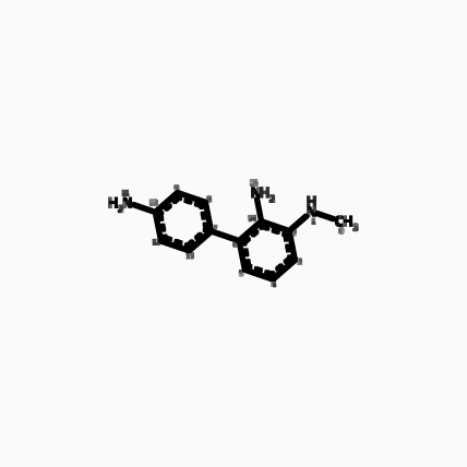 CNc1cccc(-c2ccc(N)cc2)c1N